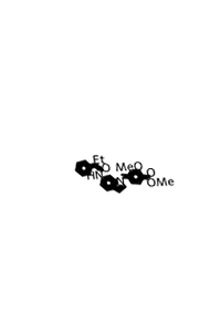 CCC(C(=O)Nc1ccc2ccn(Cc3ccc(C(=O)OC)cc3OC)c2c1)c1ccccc1